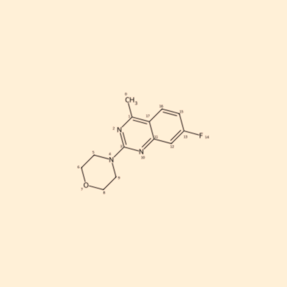 Cc1nc(N2CCOCC2)nc2cc(F)ccc12